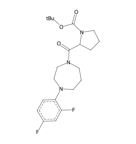 CC(C)(C)OC(=O)N1CCCC1C(=O)N1CCCN(c2ccc(F)cc2F)CC1